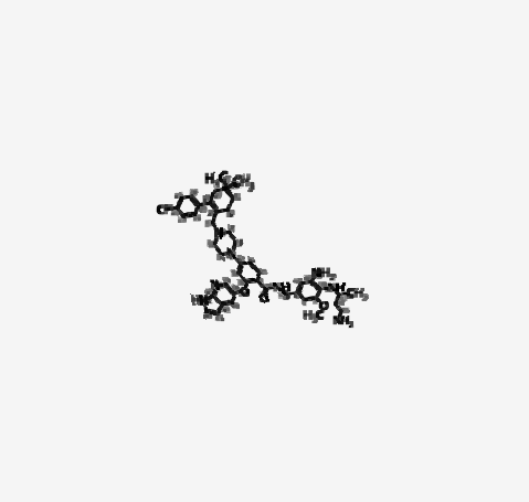 COc1cc(SNC(=O)c2ccc(N3CCN(CC4=C(c5ccc(Cl)cc5)CC(C)(C)CC4)CC3)cc2Oc2cnc3[nH]ccc3c2)cc(N)c1N[C@@H](C)CCN